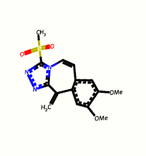 C=C1c2cc(OC)c(OC)cc2C=Cn2c1nnc2S(C)(=O)=O